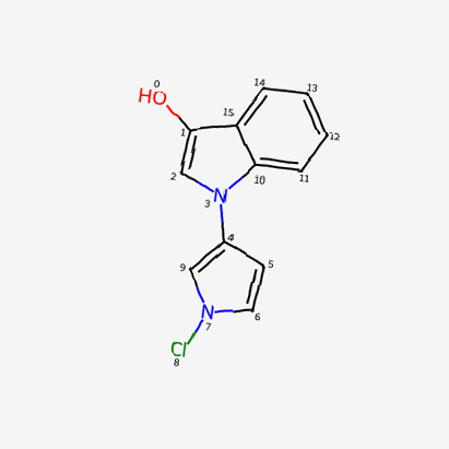 Oc1cn(-c2ccn(Cl)c2)c2ccccc12